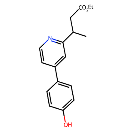 CCOC(=O)CC(C)c1cc(-c2ccc(O)cc2)ccn1